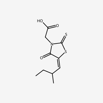 CCC(C)/C=C1/SC(=S)N(CC(=O)O)C1=O